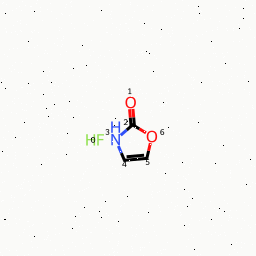 F.O=c1[nH]cco1